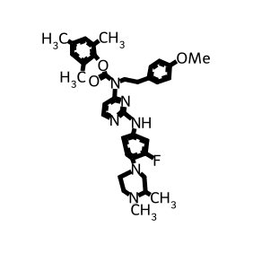 COc1ccc(CCN(C(=O)Oc2c(C)cc(C)cc2C)c2ccnc(Nc3ccc(N4CCN(C)C(C)C4)c(F)c3)n2)cc1